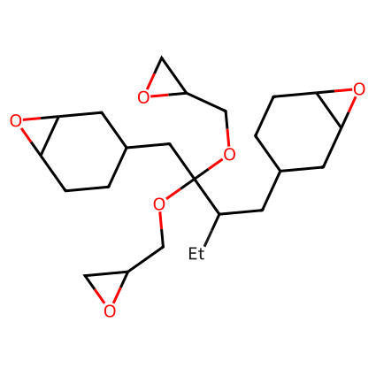 CCC(CC1CCC2OC2C1)C(CC1CCC2OC2C1)(OCC1CO1)OCC1CO1